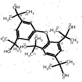 CC(C)(O)c1cc(Oc2c(C(C)(C)O)cc(C(C)(C)O)cc2C(C)(C)O)cc(C(C)(C)O)c1